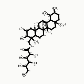 CC1CCC2(C(=O)O)CCC3(C)C(=CCC4C5(C)CC(O)C(O)C(C)(COC(=O)C(O)C(O)C(O)C(O)CO)C5CCC43C)C2C1C